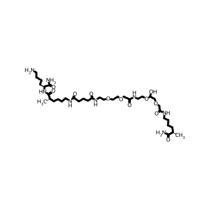 C[C@@H](CCCCNC(=O)COCC(O)OCCNC(=O)COCCOCCNC(=O)CCCC(=O)NCCCC[C@H](C)C(=O)N[C@@H](CCCCN)C(N)=O)C(N)=O